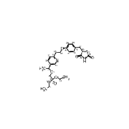 CCOP(=O)(COC(C)c1ccc(CCOc2ccc(CC3SC(=O)NC3=O)cc2)nc1)OCC